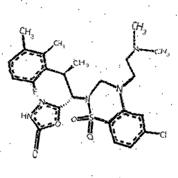 Cc1ccc(F)c([C@@H](C)[C@@H](c2n[nH]c(=O)o2)N2CN(CCN(C)C)c3cc(Cl)ccc3S2(=O)=O)c1C